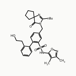 CCCCC1=NC2(CCCC2)C(=O)N1Cc1ccc(-c2ccccc2CCO)c(S(=O)(=O)Nc2onc(C)c2C)c1